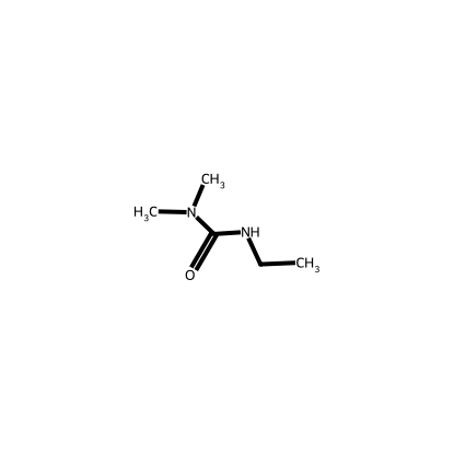 CCNC(=O)N(C)C